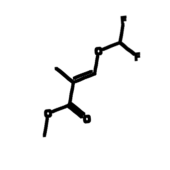 COC(=O)/C(C)=C/OC(F)F